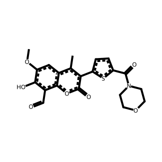 COc1cc2c(C)c(-c3ccc(C(=O)N4CCOCC4)s3)c(=O)oc2c(C=O)c1O